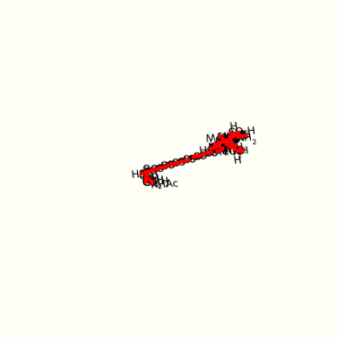 CSCC[C@H](NC(=O)[C@H](Cc1ccc(O)cc1)NC(=O)[C@H](CC(=O)O)NC(=O)CCOCCOCCOCCOCCOCCOCCOCCOCCOCCOCCOCCOCCNC(=O)[C@H](CS)NC(=O)[C@H](CC(=O)O)NC(=O)[C@@H](N)CNC(C)=O)C(=O)NCC(=O)N[C@@H](Cc1c[nH]c2ccccc12)C(=O)N[C@@H](CCSC)C(=O)N[C@@H](CC(=O)O)C(=O)N[C@@H](Cc1ccccc1)C(N)=O